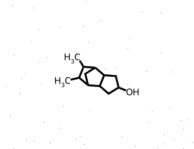 CC1C(C)C2CC1C1CC(O)CC21